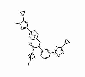 Cn1nc(C23CCC(CN(C(=O)C45CC(F)(C4)C5)c4cccc(-c5nc(C6CC6)no5)c4)(CC2)CC3)cc1C1CC1